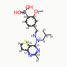 COc1cc(/C=N/N(CC(C)C)c2nc(C)nc3ccsc23)ccc1B(O)O